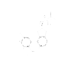 Cc1ccc([C@@H](C)Oc2ccc3c(c2)C[C@@H](NS(=O)(=O)C(C)C)C3)cn1